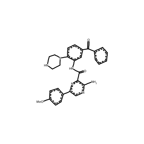 COc1ccc(-c2cnc(N)c(C(=O)Nc3cc(C(=O)c4ccccc4)ccc3N3CCNCC3)n2)cc1